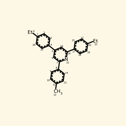 CCc1ccc(-c2cc(-c3ccc(C)cc3)nc(-c3ccc(CC)cc3)c2)cc1